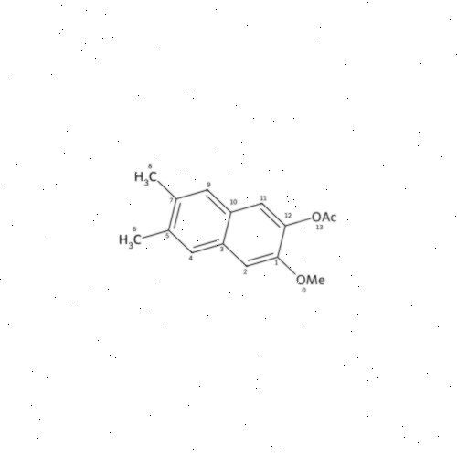 COc1cc2cc(C)c(C)cc2cc1OC(C)=O